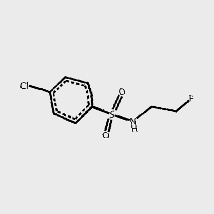 O=S(=O)(NCCF)c1ccc(Cl)cc1